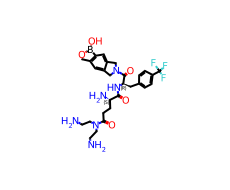 NCCN(CCN)C(=O)CC[C@H](N)C(=O)N[C@H](Cc1ccc(C(F)(F)F)cc1)C(=O)N1Cc2cc3c(cc2C1)B(O)OC3